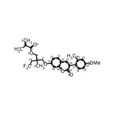 C=C(C)C(=O)OCC(C)(COc1ccc2cc(-c3ccc(OC)cc3C)c(=O)oc2c1)CC(F)(F)F